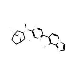 CN(c1cnc(-c2ccn3ccnc3c2O)cn1)[C@H]1C[C@@H]2CCC(N2)[C@H]1F